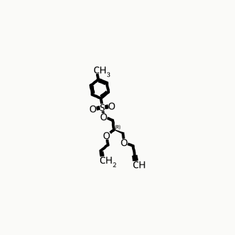 C#CCOC[C@H](COS(=O)(=O)c1ccc(C)cc1)OCC=C